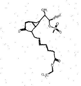 CCCCCC(OS(C)(=O)=O)C(O)C1C2CC(=O)C(CC=CCCCC(=O)OCC(Cl)(Cl)Cl)C21